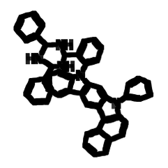 c1ccc(C2NC(c3ccccc3)NC(c3ccccc3-n3c4ccccc4c4cc5c6c7ccccc7ccc6n(-c6ccccc6)c5cc43)N2)cc1